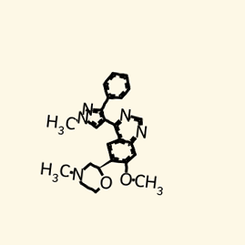 COc1cc2ncnc(-c3cn(C)nc3-c3ccccc3)c2cc1[C@@H]1CN(C)CCO1